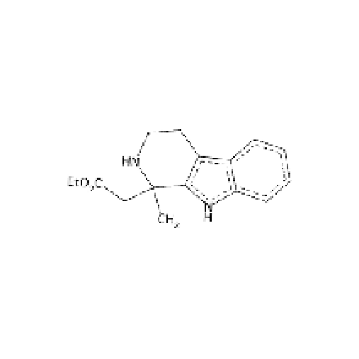 CCOC(=O)CC1(C)NCCc2c1[nH]c1ccccc21